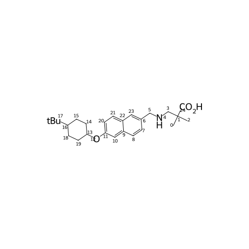 CC(C)(CNCc1ccc2cc(OC3CCC(C(C)(C)C)CC3)ccc2c1)C(=O)O